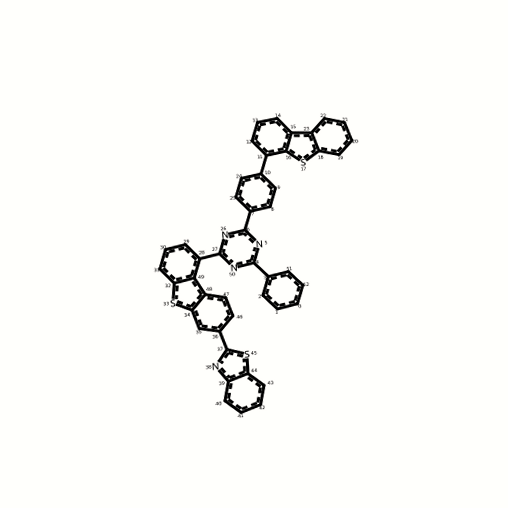 c1ccc(-c2nc(-c3ccc(-c4cccc5c4sc4ccccc45)cc3)nc(-c3cccc4sc5cc(-c6nc7ccccc7s6)ccc5c34)n2)cc1